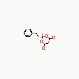 CC1(CCc2ccccc2)OC(=O)CC(=O)O1